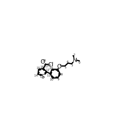 CN(C)CCCOc1cccc(-c2sccc2C(=O)Cl)c1